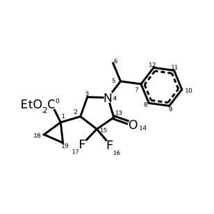 CCOC(=O)C1(C2CN(C(C)c3ccccc3)C(=O)C2(F)F)CC1